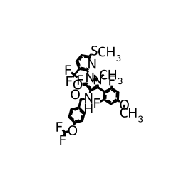 COc1cc(F)c(-c2c(NC(=O)c3ccc(OC(F)F)cc3)c(=O)n(-c3nc(SC)ccc3C(F)(F)F)n2C)c(F)c1